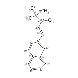 CC(C)(C)[S+]([O-])/N=C/c1ccc2ccccc2c1